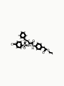 CCOC(=O)Cc1ccc(NC(=O)C(CCc2ccccc2)NS(=O)(=O)c2ccc(Cl)cc2)cc1